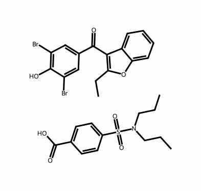 CCCN(CCC)S(=O)(=O)c1ccc(C(=O)O)cc1.CCc1oc2ccccc2c1C(=O)c1cc(Br)c(O)c(Br)c1